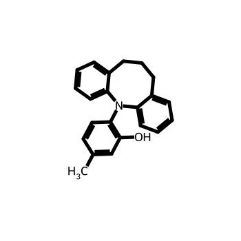 Cc1ccc(N2c3ccccc3CCCc3ccccc32)c(O)c1